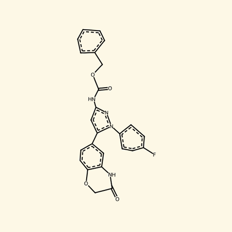 O=C1COc2ccc(-c3cc(NC(=O)OCc4ccccc4)nn3-c3ccc(F)cc3)cc2N1